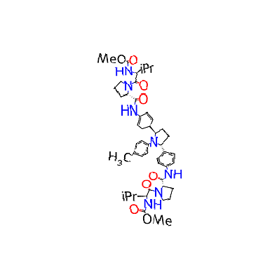 COC(=O)N[C@H](C(=O)N1CCC[C@H]1C(=O)NC1=CCC([C@H]2CC[C@H](c3ccc(NC(=O)[C@@H]4CCCN4C(=O)[C@@H](NC(=O)OC)C(C)C)cc3)N2c2ccc(C)cc2)C=C1)C(C)C